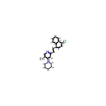 CCc1cnc(C=Cc2ccc(Cl)c3ccccc23)cc1N1CCCCC1